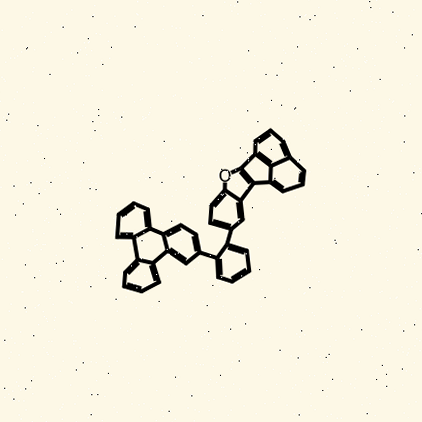 c1ccc(-c2ccc3c4ccccc4c4ccccc4c3c2)c(-c2ccc3oc4c(c3c2)-c2cccc3cccc-4c23)c1